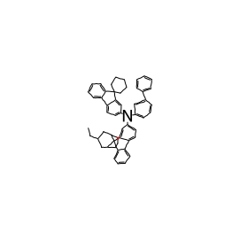 CCC1CC2CCCC(C1)C21c2ccccc2-c2ccc(N(c3cccc(-c4ccccc4)c3)c3ccc4c(c3)C3(CCCCC3)c3ccccc3-4)cc21